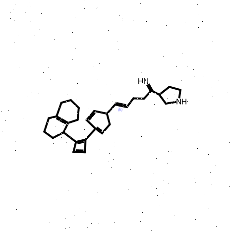 N=C(CC/C=C/C1C=CC(C2=C(C3CCCC4=C3CCCC4)C=C2)=CC1)C1CCNC1